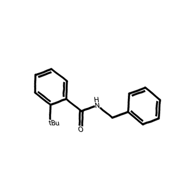 CC(C)(C)c1ccccc1C(=O)NCc1ccccc1